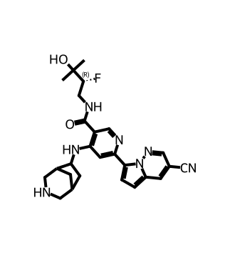 CC(C)(O)[C@H](F)CNC(=O)c1cnc(-c2ccc3cc(C#N)cnn23)cc1NC1CC2CNCC1C2